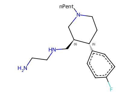 CCCCCN1CC[C@H](c2ccc(F)cc2)[C@@H](CNCCN)C1